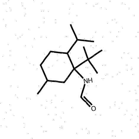 CC1CCC(C(C)C)C(NC=O)(C(C)(C)C)C1